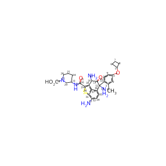 Cc1cc(OC2CCC2)ccc1C1(N)C(=O)C(N)c2c(C(=O)NC3CCCN(C(=O)O)C3)sc3c(N)ccc1c23